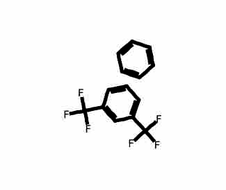 FC(F)(F)c1cccc(C(F)(F)F)c1.c1ccccc1